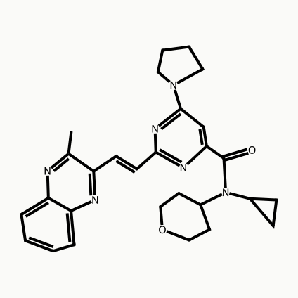 Cc1nc2ccccc2nc1/C=C/c1nc(C(=O)N(C2CCOCC2)C2CC2)cc(N2CCCC2)n1